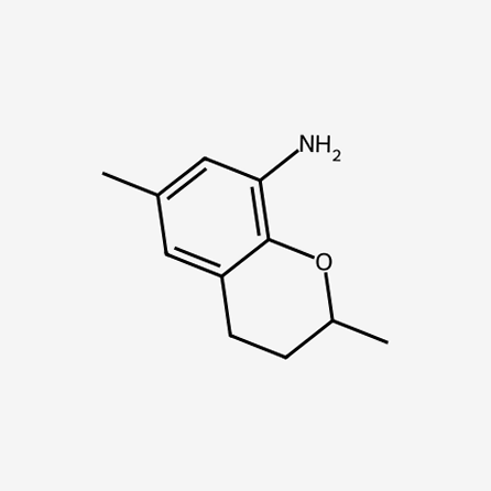 Cc1cc(N)c2c(c1)CCC(C)O2